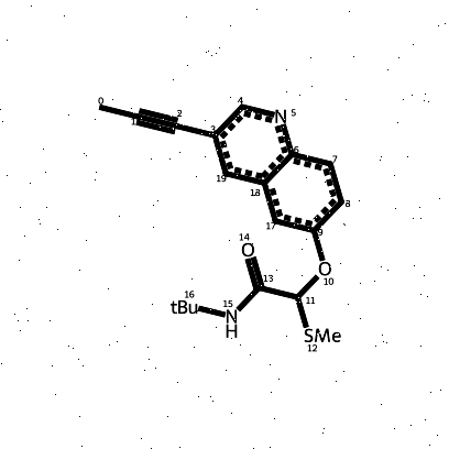 CC#Cc1cnc2ccc(OC(SC)C(=O)NC(C)(C)C)cc2c1